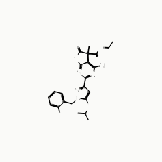 CCOC(=O)C1(C)C(=O)Nc2nc(-c3cc(OC(C)C)n(Cc4ccccc4F)n3)nc(N)c21